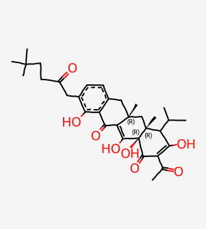 CC(=O)C1=C(O)C(C(C)C)[C@@]2(C)C[C@@]3(C)Cc4ccc(CC(=O)CCC(C)(C)C)c(O)c4C(=O)C3=C(O)[C@@]2(O)C1=O